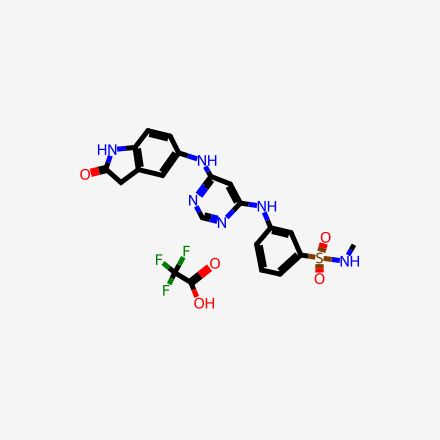 CNS(=O)(=O)c1cccc(Nc2cc(Nc3ccc4c(c3)CC(=O)N4)ncn2)c1.O=C(O)C(F)(F)F